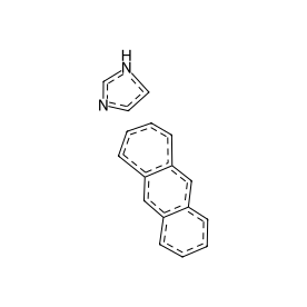 c1c[nH]cn1.c1ccc2cc3ccccc3cc2c1